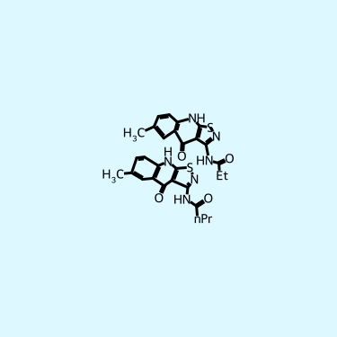 CCC(=O)Nc1nsc2[nH]c3ccc(C)cc3c(=O)c12.CCCC(=O)Nc1nsc2[nH]c3ccc(C)cc3c(=O)c12